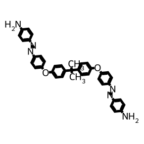 CC(C)(c1ccc(Oc2ccc(N=Nc3ccc(N)cc3)cc2)cc1)c1ccc(Oc2ccc(N=Nc3ccc(N)cc3)cc2)cc1